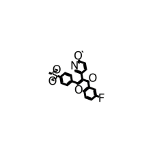 COc1ccc(-c2c(-c3ccc(S(C)(=O)=O)cc3)oc3ccc(F)cc3c2=O)cn1